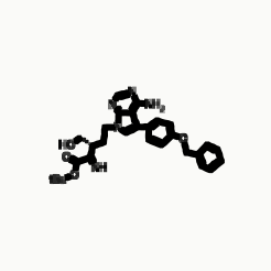 CC(C)(C)OC(=O)C(=N)[C@H](CO)CCn1cc(-c2ccc(OCc3ccccc3)cc2)c2c(N)ncnc21